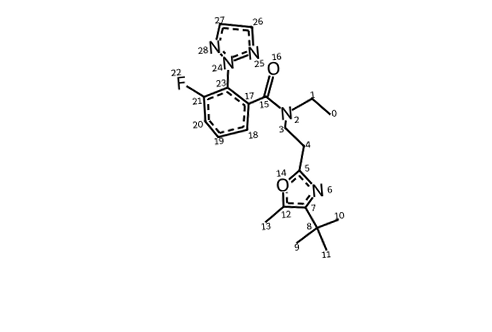 CCN(CCc1nc(C(C)(C)C)c(C)o1)C(=O)c1cccc(F)c1-n1nccn1